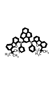 CC(C)(C)c1cccc2c1oc1c(N(C3=CCCC=C3)c3cc(N(c4ccccc4)c4cccc5c4oc4c(C(C)(C)C)cccc45)c4ccc5cccc6ccc3c4c65)cccc12